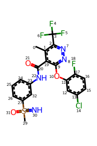 Cc1c(C(F)(F)F)nnc(Oc2cc(Cl)ccc2F)c1C(=O)Nc1cccc(S(C)(=N)=O)c1